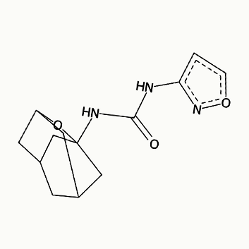 O=C(Nc1ccon1)NC12CC3CC(CC(C3)O1)C2